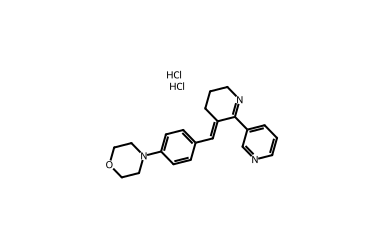 C(=C1CCCN=C1c1cccnc1)c1ccc(N2CCOCC2)cc1.Cl.Cl